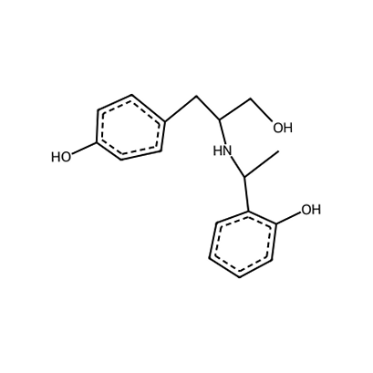 CC(NC(CO)Cc1ccc(O)cc1)c1ccccc1O